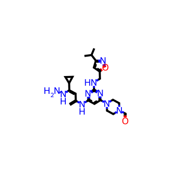 C=C(/C=C(\NN)C1CC1)Nc1cc(N2CCN(C=O)CC2)nc(NCc2cc(C(C)C)no2)n1